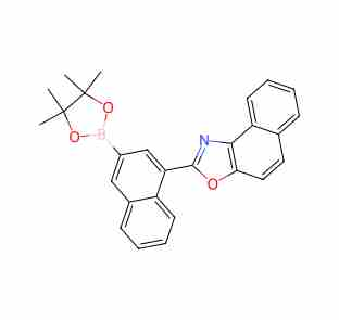 CC1(C)OB(c2cc(-c3nc4c(ccc5ccccc54)o3)c3ccccc3c2)OC1(C)C